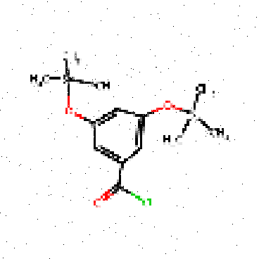 C[Si](C)(C)Oc1cc(O[Si](C)(C)C)cc(C(=O)Cl)c1